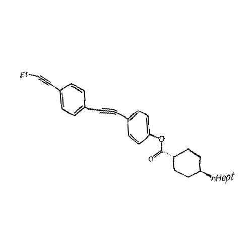 CCC#Cc1ccc(C#Cc2ccc(OC(=O)[C@H]3CC[C@H](CCCCCCC)CC3)cc2)cc1